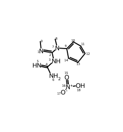 C/N=C(/NC(=N)N)N(C)c1ccccc1.O=[N+]([O-])O